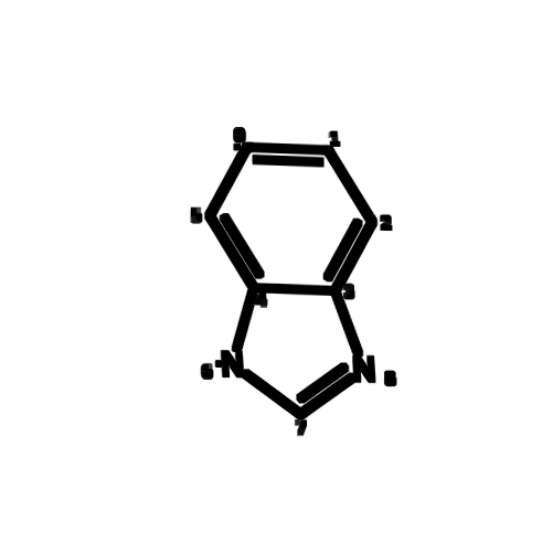 [c]1ccc2c(c1)[N]C=N2